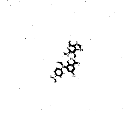 CCN(c1cc(Cl)cc(C(=O)NCc2c(OC)nc(C)c3nc[nH]c23)c1C)[C@H]1CC[C@H](N(C)C)CC1